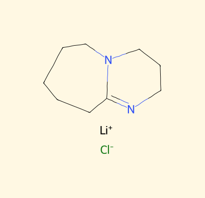 C1CCC2=NCCCN2CC1.[Cl-].[Li+]